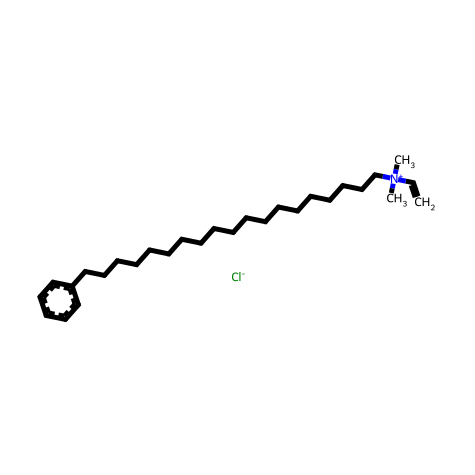 C=C[N+](C)(C)CCCCCCCCCCCCCCCCCCCc1ccccc1.[Cl-]